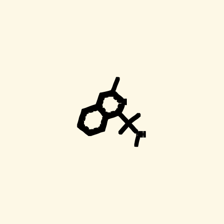 CNC(C)(C)c1nc(C)cc2ccccc12